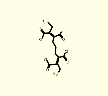 CC/C(C(=O)Cl)=C(/CCC/C(C(=O)Cl)=C(/CC)C(=O)Cl)C(=O)Cl